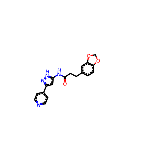 O=C(CCc1ccc2c(c1)OCO2)Nc1cc(-c2ccncc2)n[nH]1